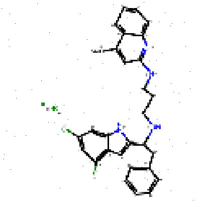 COc1cc(NCCCNC(Cc2ccccc2)c2cc3c(Cl)cc(Cl)cc3[nH]2)nc2ccccc12.Cl.Cl